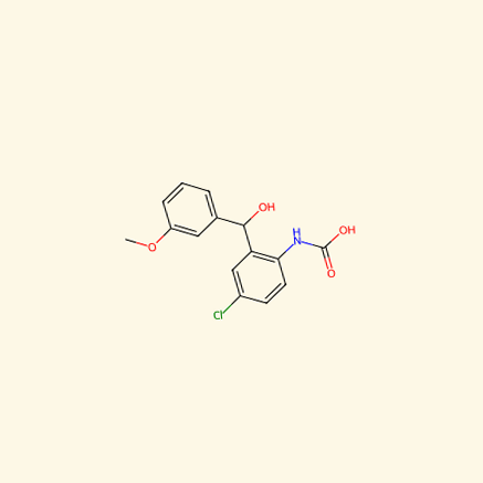 COc1cccc(C(O)c2cc(Cl)ccc2NC(=O)O)c1